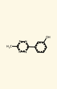 Cc1nnc(-c2cccc(O)c2)nn1